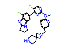 Fc1cnc(Nc2ccc(CN3CC4(CCNCC4)C3)cn2)nc1-c1cc(F)c2nc3n(c2c1)CCC3